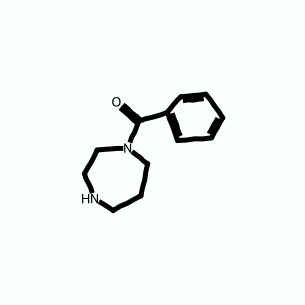 O=C(c1ccccc1)N1CCCNCC1